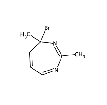 CC1=NC(C)(Br)C=CC=N1